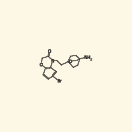 NC12CCC(CCN3C(=O)COc4ccc(Br)cc43)(CC1)OC2